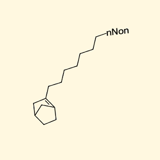 CCCCCCCCCCCCCCCCC1=C2CCC(C1)C2